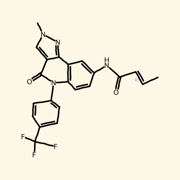 C/C=C/C(=O)Nc1ccc2c(c1)c1nn(C)cc1c(=O)n2-c1ccc(C(F)(F)F)cc1